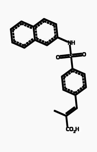 CC(=Cc1ccc(S(=O)(=O)Nc2ccc3ccccc3c2)cc1)C(=O)O